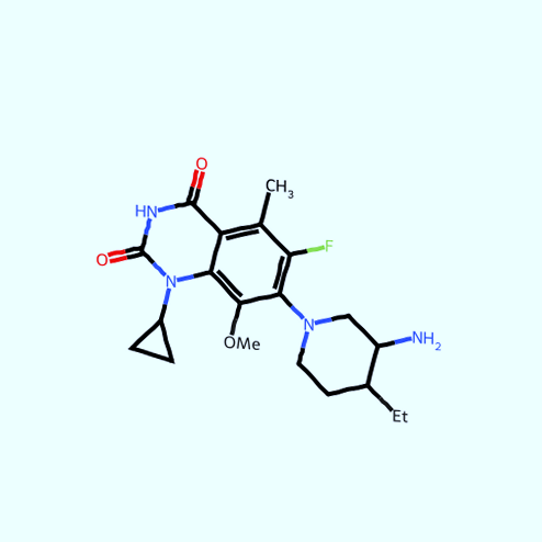 CCC1CCN(c2c(F)c(C)c3c(=O)[nH]c(=O)n(C4CC4)c3c2OC)CC1N